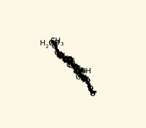 C=C(C)C(=O)OCCCOc1ccc(-c2ccc3c(Cl)c(OC(=O)c4ccc5c(C=N)c(OC(=O)c6ccc(OCCCOCC7CO7)cc6)ccc5c4)ccc3c2)cc1